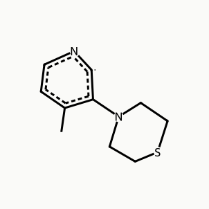 Cc1ccn[c]c1N1CCSCC1